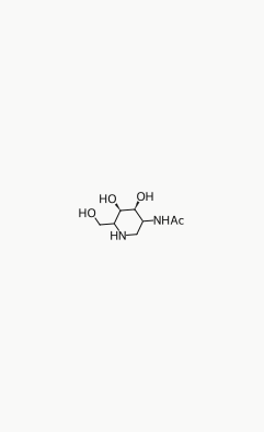 CC(=O)NC1CNC(CO)[C@@H](O)[C@H]1O